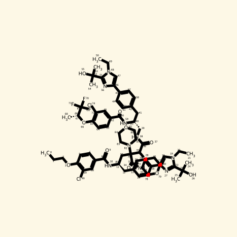 CCCOc1ccc(C(=O)N[C@H](Cc2ccc(-c3cn(CC)c(C(C)(C)O)n3)cc2)CC(C(N)=O)(C(C(=O)NC[C@@H](Cc2ccc(-c3cn(CC)c(C(C)(C)O)n3)cc2)NC(=O)c2ccc(O[C@H](C)C(F)(F)F)c(Cl)c2)N2CCOCC2)N2CCOCC2)cc1Cl